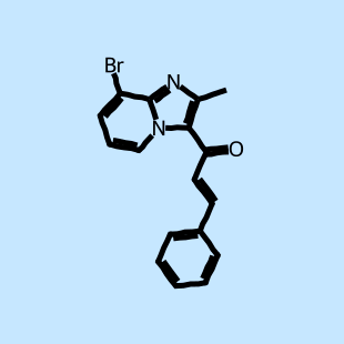 Cc1nc2c(Br)cccn2c1C(=O)/C=C/c1ccccc1